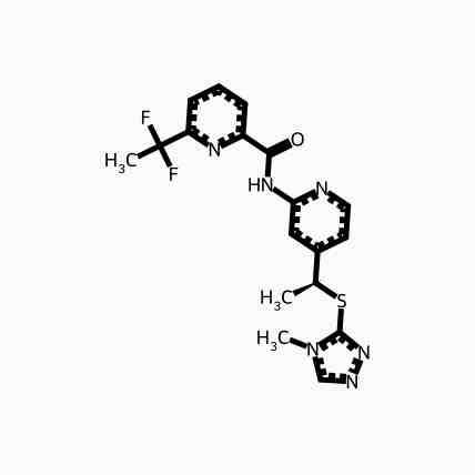 C[C@H](Sc1nncn1C)c1ccnc(NC(=O)c2cccc(C(C)(F)F)n2)c1